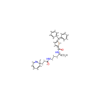 CC1(CCC(=O)NCCCC(NC(=O)c2ccc(C(c3ccccc3)c3ccccc3)s2)C(=O)O)C=CC=CC=N1